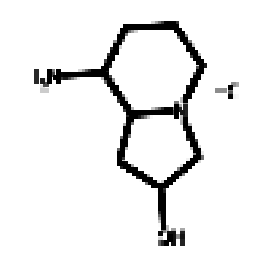 Cl.NC1CCCN2CC(O)CC12